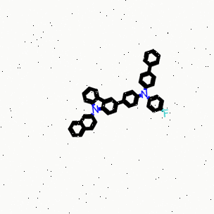 Fc1ccc(N(c2ccc(-c3ccccc3)cc2)c2ccc(-c3ccc4c(c3)c3ccccc3n4-c3ccc4ccccc4c3)cc2)cc1